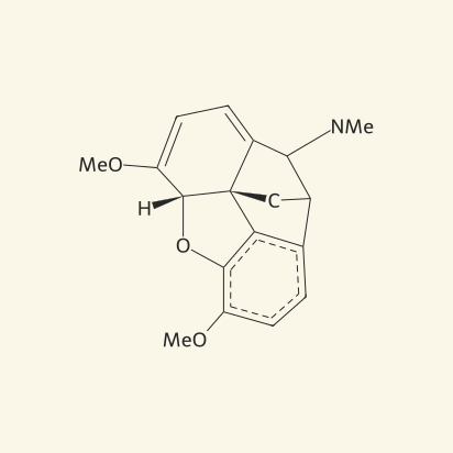 CNC1C2=CC=C(OC)[C@H]3Oc4c(OC)ccc5c4[C@@]23CC51